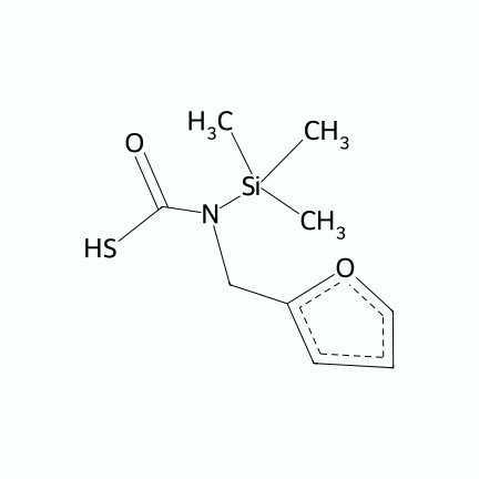 C[Si](C)(C)N(Cc1ccco1)C(=O)S